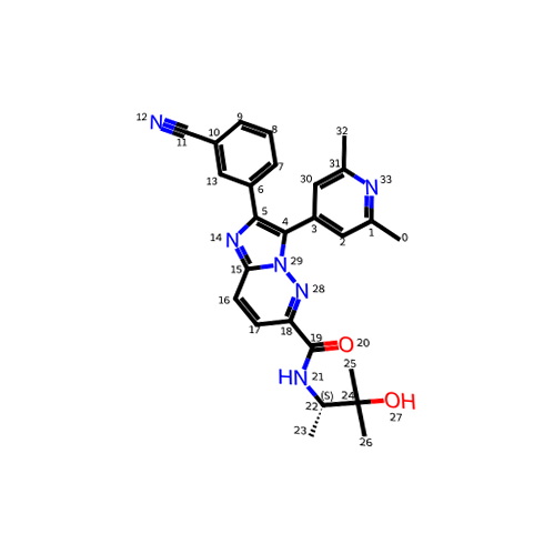 Cc1cc(-c2c(-c3cccc(C#N)c3)nc3ccc(C(=O)N[C@@H](C)C(C)(C)O)nn23)cc(C)n1